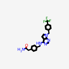 NC(=O)Cc1ccc(CNc2ncnc3c2ccn3Cc2ccc(C(F)(F)F)cc2)cc1